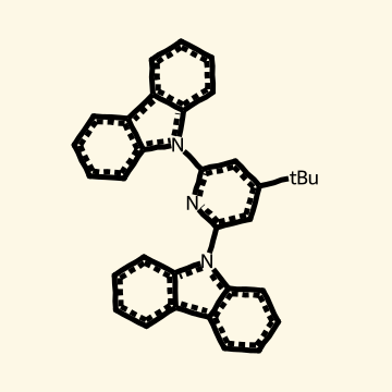 CC(C)(C)c1cc(-n2c3ccccc3c3ccccc32)nc(-n2c3ccccc3c3ccccc32)c1